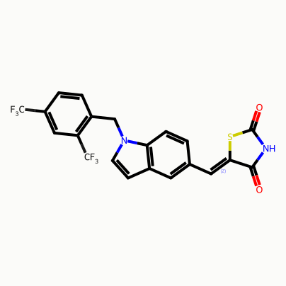 O=C1NC(=O)/C(=C/c2ccc3c(ccn3Cc3ccc(C(F)(F)F)cc3C(F)(F)F)c2)S1